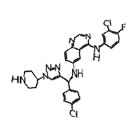 Fc1ccc(Nc2ncnc3ccc(N[C@@H](c4ccc(Cl)cc4)c4cn(C5CCNCC5)nn4)cc23)cc1Cl